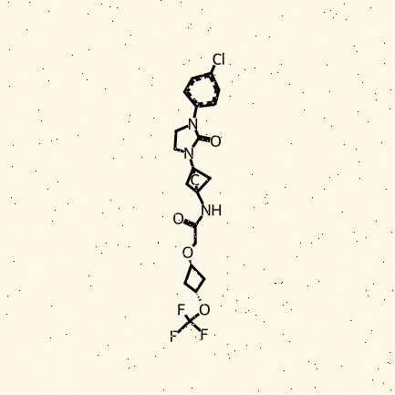 O=C(CO[C@H]1C[C@@H](OC(F)(F)F)C1)NC12CC(N3CCN(c4ccc(Cl)cc4)C3=O)(C1)C2